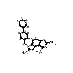 Cc1cc2c3c(N)nc(N)nc3ccc2n1Cc1ccc(-c2ccccc2)cc1